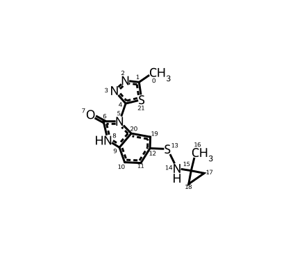 Cc1nnc(-n2c(=O)[nH]c3ccc(SNC4(C)CC4)cc32)s1